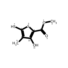 COC(=O)c1sc(S)c(C)c1O